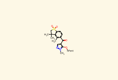 CCCCCOc1c(C(=O)c2ccc3c(c2C)C(C)(C)CS3(=O)=O)cnn1C